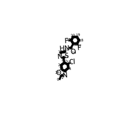 Cc1nc2cc(Cl)c(-c3ncc(NC(=O)c4c(F)cccc4F)s3)cc2o1